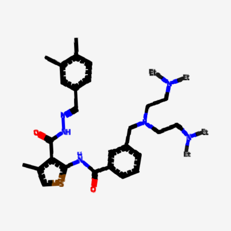 CCN(CC)CCN(CCN(CC)CC)Cc1cccc(C(=O)Nc2scc(C)c2C(=O)NN=Cc2ccc(C)c(C)c2)c1